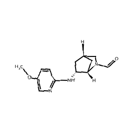 COc1ccc(N[C@@H]2C[C@H]3C[C@@H]2N(C=O)C3)nc1